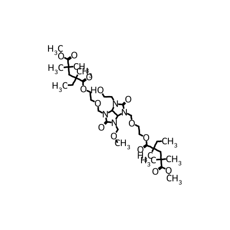 CCC(C)(CC(C)(C)C(=O)OC)C(=O)OCCOCN1C(=O)N(COC)C2C1N(CCO)C(=O)N2COCCOC(=O)C(C)(CC)CC(C)(C)C(=O)OC